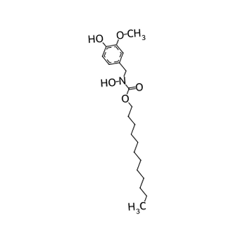 CCCCCCCCCCCCOC(=O)N(O)Cc1ccc(O)c(OC)c1